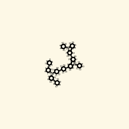 c1ccc(-c2cccc(N(c3ccc(-c4ccc(-c5ccc6c(c5)c5cc(-c7ccc8c(c7)c7ccccc7n8-c7ccccc7)ccc5n6-c5ccccc5)cc4)cc3)c3cccc(-c4ccccc4)c3)c2)cc1